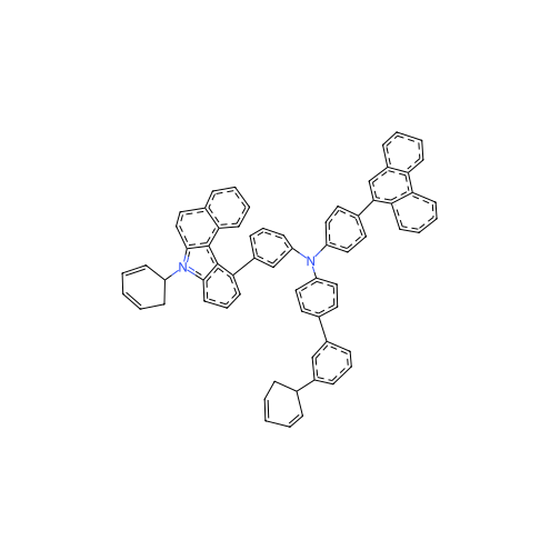 C1=CCC(c2cccc(-c3ccc(N(c4ccc(-c5cc6ccccc6c6ccccc56)cc4)c4cccc(-c5cccc6c5c5c7ccccc7ccc5n6C5C=CC=CC5)c4)cc3)c2)C=C1